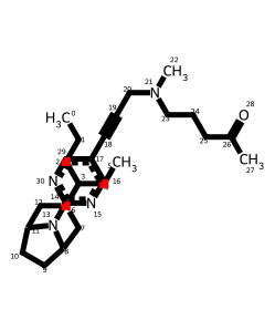 CCCC(CC)N1CC2CCC(C1)N2c1ncc(C#CCN(C)CCCC(C)=O)cn1